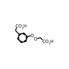 O=C(O)COOc1cccc(CC(=O)O)c1